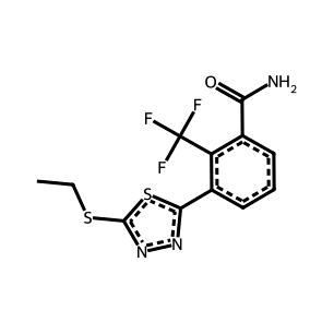 CCSc1nnc(-c2cccc(C(N)=O)c2C(F)(F)F)s1